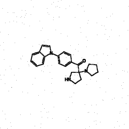 O=C(c1ccc(-n2ccc3ccccc32)cc1)C1(N2CCCC2)CCNC1